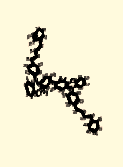 Cc1ccccc1N(c1ccc(/C=C/C=C/c2ccccc2)cc1)c1ccc(-c2ccc(N(c3ccc(/C=C/C=C/c4ccccc4)cc3)c3ccccc3C)cc2)cc1